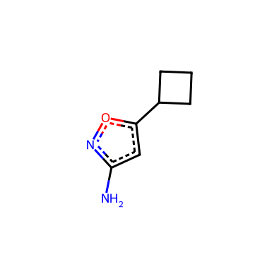 Nc1cc(C2CCC2)on1